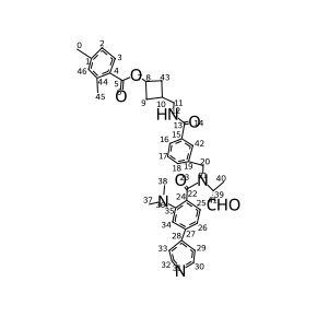 Cc1ccc(C(=O)OC2CC(CNC(=O)c3cccc(CN(C(=O)c4ccc(-c5ccncc5)cc4N(C)C)[C@H](C)C=O)c3)C2)c(C)c1